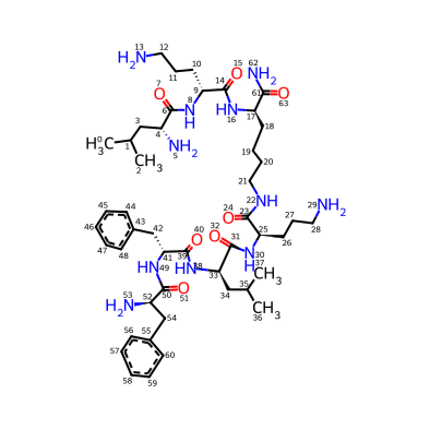 CC(C)C[C@@H](N)C(=O)N[C@H](CCCN)C(=O)N[C@H](CCCCNC(=O)[C@@H](CCCN)NC(=O)[C@@H](CC(C)C)NC(=O)[C@@H](Cc1ccccc1)NC(=O)[C@H](N)Cc1ccccc1)C(N)=O